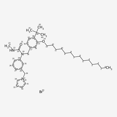 CCCCCCCCCCCCCCOc1cc(CN(C(=O)NC)c2cccc(C[n+]3ccsc3)c2)ccc1C(C)(C)C.[Br-]